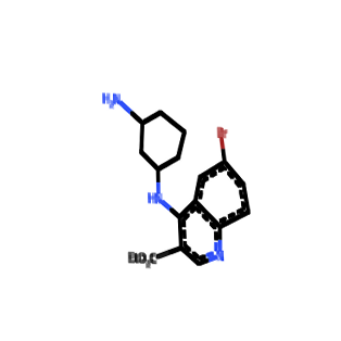 CCOC(=O)c1cnc2ccc(Br)cc2c1NC1CCCC(N)C1